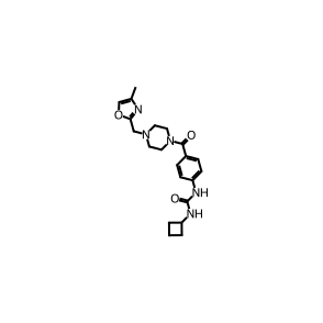 Cc1coc(CN2CCN(C(=O)c3ccc(NC(=O)NC4CCC4)cc3)CC2)n1